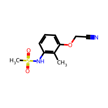 Cc1c(NS(C)(=O)=O)cccc1OCC#N